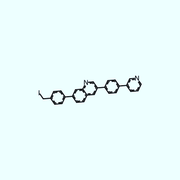 ICc1ccc(-c2ccc3cc(-c4ccc(-c5cccnc5)cc4)cnc3c2)cc1